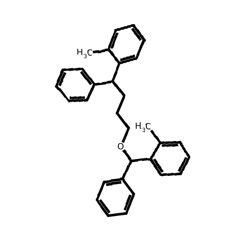 Cc1ccccc1C(CCCOC(c1ccccc1)c1ccccc1C)c1ccccc1